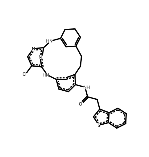 O=C(Cc1csc2ccccc12)Nc1ccc2cc1CCC1=CCCC(=C1)Nc1ncc(Cl)c(n1)N2